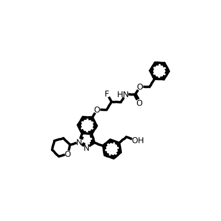 O=C(NCC(F)COc1ccc2c(c1)c(-c1cccc(CO)c1)nn2C1CCCCO1)OCc1ccccc1